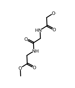 COC(=O)CNC(=O)CNC(=O)C[O]